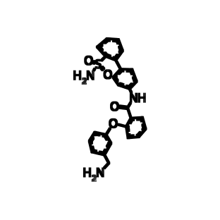 NCc1cccc(Oc2ccccc2C(=O)Nc2ccc(-c3ccccc3S(N)(=O)=O)cc2)c1